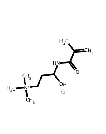 C=C(C)C(=O)NC(O)CC[N+](C)(C)C.[Cl-]